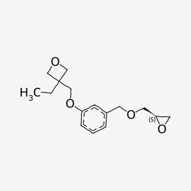 CCC1(COc2cccc(COC[C@H]3CO3)c2)COC1